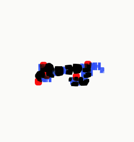 CN1CCN([C@@H]2CCCN(c3cnc(C(N)=O)c(Nc4ccc(C5CCN([C@H]6CC[C@@H](n7ccc8c9c(C%10CCC(=O)NC%10=O)noc9ccc87)CC6)CC5)cc4)n3)C2)C1=O